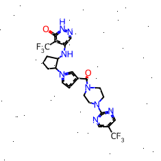 O=C(c1ccn(C2CCCC2Nc2cn[nH]c(=O)c2C(F)(F)F)c1)N1CCN(c2ncc(C(F)(F)F)cn2)CC1